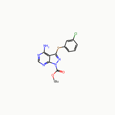 CC(C)(C)OC(=O)n1nc(Sc2cccc(Cl)c2)c2c(N)ncnc21